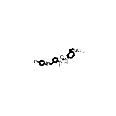 Cn1ccc2cc(NC(=O)Nc3cccc(CNCc4ccc(Cl)cc4)c3)ccc21